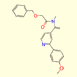 C=C(c1ccnc(-c2ccc(OC)cc2)c1)N(C)C(=O)COCc1ccccc1